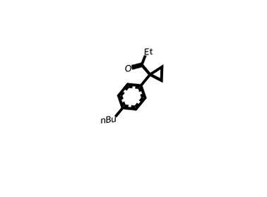 CCCCc1ccc(C2(C(=O)CC)CC2)cc1